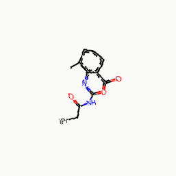 Cc1cccc2c(=O)oc(NC(=O)CC(C)C)nc12